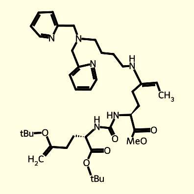 C=C(CC[C@H](NC(=O)N[C@@H](CC/C(=C\C)NCCCCN(Cc1ccccn1)Cc1ccccn1)C(=O)OC)C(=O)OC(C)(C)C)OC(C)(C)C